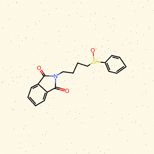 O=C1c2ccccc2C(=O)N1CCCC[S+]([O-])c1ccccc1